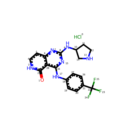 Cl.O=c1[nH]ccc2nc(NC3CCNC3)nc(Nc3ccc(C(F)(F)F)cc3)c12